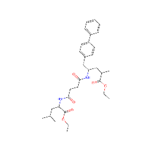 CCOC(=O)C(C)CC(Cc1ccc(-c2ccccc2)cc1)NC(=O)CCC(=O)NC(CC(C)C)C(=O)OCC